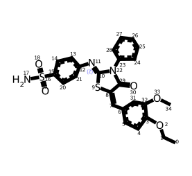 CCOc1ccc(C=C2S/C(=N\c3ccc(S(N)(=O)=O)cc3)N(c3ccccc3)C2=O)cc1OC